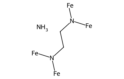 N.[Fe][N]([Fe])CC[N]([Fe])[Fe]